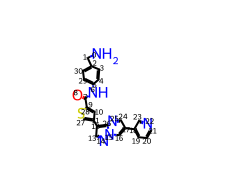 NCc1ccc(NC(=O)c2cc(-c3cnn4cc(-c5cccnc5)cnc34)cs2)cc1